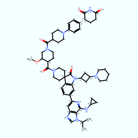 COC1CN(C(=O)C2CCN(c3ccc([C@H]4CCC(=O)NC4=O)cc3)CC2)CCC1C(=O)N1CCC2(CC1)C(=O)N(C1CC(N3CCCCC3)C1)c1cc(-c3cc4ncn(C(C)C)c4c(NC4CC4)n3)ccc12